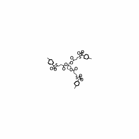 CCC(COC(=O)CCSS(=O)(=O)c1ccc(C)cc1)(COC(=O)CCSS(=O)(=O)c1ccc(C)cc1)OC(=O)CCSS(=O)(=O)c1ccc(C)cc1